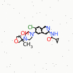 C[C@@]1(N2CCN(c3cc4cc(NC(=O)C5CC5)ncc4cc3Cl)CC2)COC[C@@H]1O